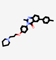 Cc1ccc(-c2ccc3nc(C)n(-c4ccc(OCCCN5CCCCC5)cc4)c(=O)c3c2)cc1